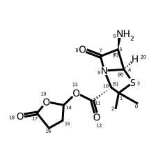 CC1(C)S[C@@H]2[C@H](N)C(=O)N2[C@H]1C(=O)OC1CCC(=O)O1